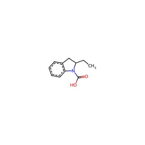 CCC1Cc2ccccc2N1C(=O)O